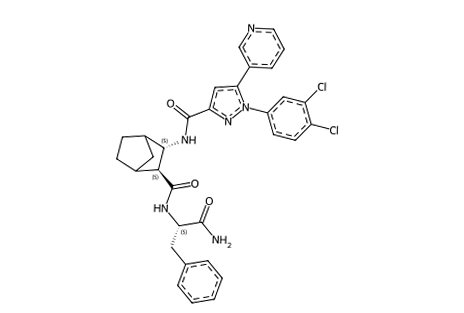 NC(=O)[C@H](Cc1ccccc1)NC(=O)[C@H]1C2CCC(C2)[C@@H]1NC(=O)c1cc(-c2cccnc2)n(-c2ccc(Cl)c(Cl)c2)n1